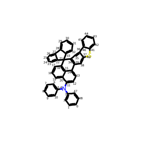 c1ccc(N(c2ccccc2)c2ccc3c4c(cccc24)C2(c4ccccc4-c4ccccc42)c2cc4c(cc2-3)sc2ccccc24)cc1